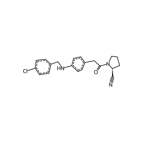 N#C[C@@H]1CCCN1C(=O)Cc1ccc(NCc2ccc(Cl)cc2)cc1